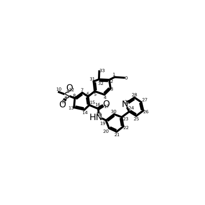 CCc1ccc(-c2cc(S(C)(=O)=O)ccc2C(=O)Nc2cccc(-c3ccccn3)c2)cc1C